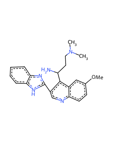 COc1ccc2ncc(-c3nc4ccccc4[nH]3)c(C(N)CCN(C)C)c2c1